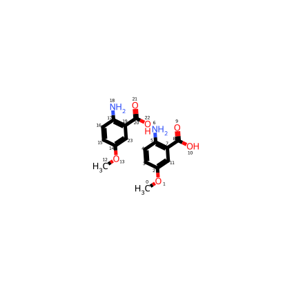 COc1ccc(N)c(C(=O)O)c1.COc1ccc(N)c(C(=O)O)c1